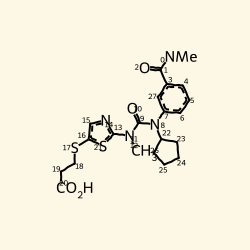 CNC(=O)c1cccc(N(C(=O)N(C)c2ncc(SCCC(=O)O)s2)C2CCCC2)c1